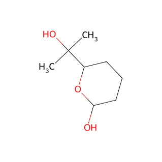 CC(C)(O)C1CCCC(O)O1